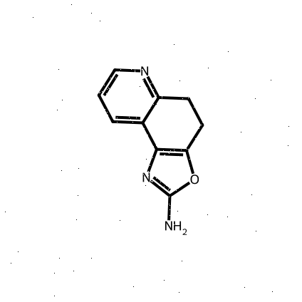 Nc1nc2c(o1)CCc1ncccc1-2